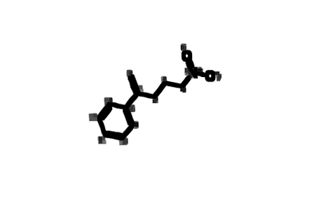 C=C(CCC[N+](=O)[O-])c1ccccc1